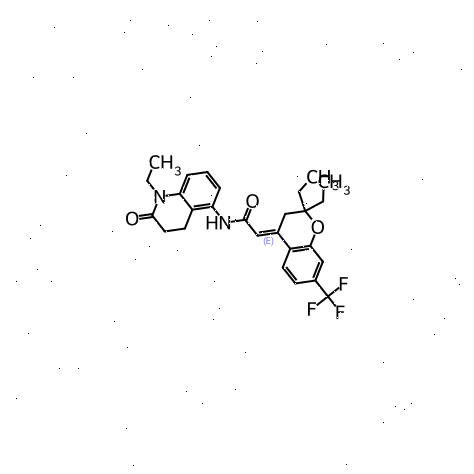 CCN1C(=O)CCc2c(NC(=O)/C=C3\CC(CC)(CC)Oc4cc(C(F)(F)F)ccc43)cccc21